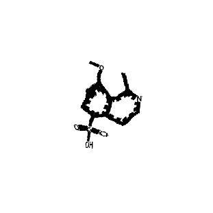 COc1ccc(S(=O)(=O)O)c2ccnc(C)c12